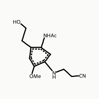 COc1cc(CCO)c(NC(C)=O)cc1NCCC#N